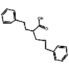 O=C(O)C(CCCc1ccccc1)CCc1ccccc1